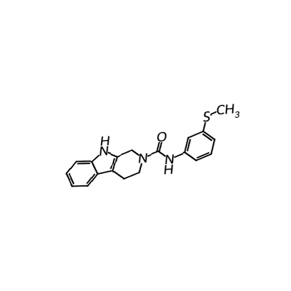 CSc1cccc(NC(=O)N2CCc3c([nH]c4ccccc34)C2)c1